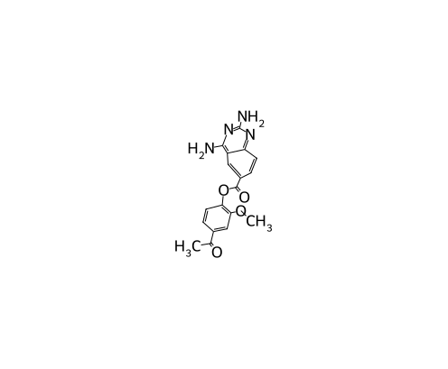 COc1cc(C(C)=O)ccc1OC(=O)c1ccc2nc(N)nc(N)c2c1